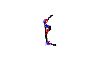 CCCC/C=C/CO/N=C\CCCCCCCCC(CCCCCCCC/C=N\OC/C=C/CCCC)OC(=O)CC(C)(C)CC(C)(C)CN(C)C